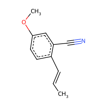 CC=Cc1ccc(OC)cc1C#N